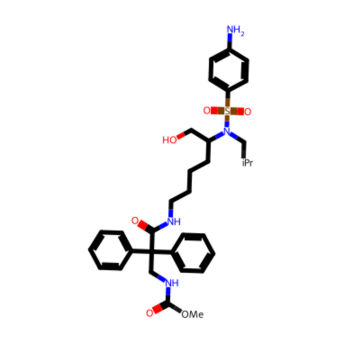 COC(=O)NCC(C(=O)NCCCCC(CO)N(CC(C)C)S(=O)(=O)c1ccc(N)cc1)(c1ccccc1)c1ccccc1